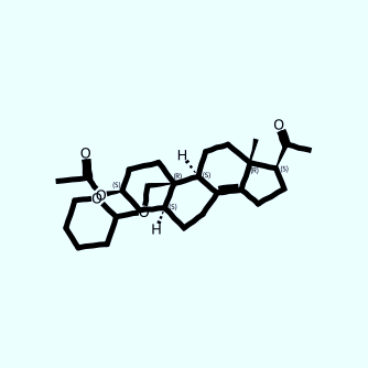 CC(=O)O[C@H]1CC[C@@]2(COC3CCCCO3)[C@@H](CCC3=C4CC[C@H](C(C)=O)[C@@]4(C)CC[C@@H]32)C1